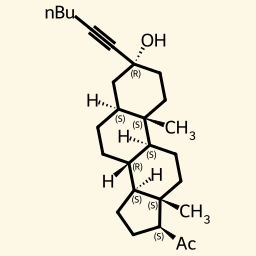 CCCCC#C[C@@]1(O)CC[C@@]2(C)[C@@H](CC[C@@H]3[C@@H]2CC[C@]2(C)[C@@H](C(C)=O)CC[C@@H]32)C1